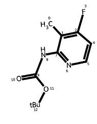 Cc1c(F)ccnc1NC(=O)OC(C)(C)C